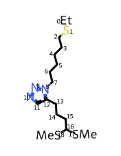 CCSCCCCCCn1nncc1CCCC(SC)SC